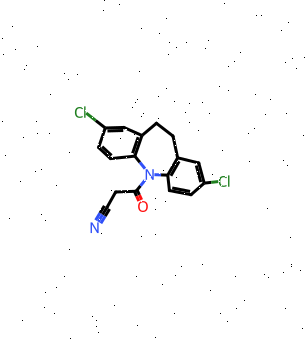 N#CCC(=O)N1c2ccc(Cl)cc2CCc2cc(Cl)ccc21